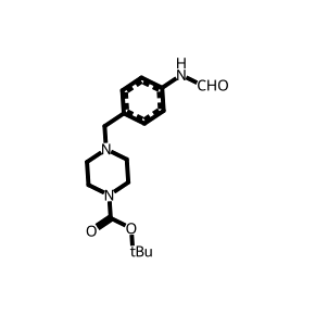 CC(C)(C)OC(=O)N1CCN(Cc2ccc(NC=O)cc2)CC1